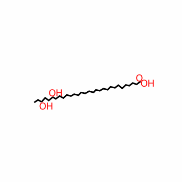 CCC(O)CCC(O)CCCCCCCCCCCCCCCCCCCCCCCC(=O)O